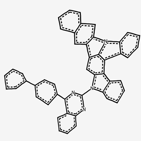 c1ccc(-c2ccc(-c3nc(-n4c5ccccc5c5c6c7ccccc7n7c8cc9ccccc9cc8c(cc54)c67)nc4ccccc34)cc2)cc1